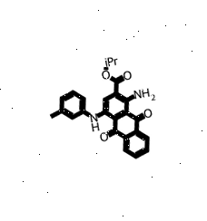 Cc1cccc(Nc2cc(C(=O)OC(C)C)c(N)c3c2C(=O)c2ccccc2C3=O)c1